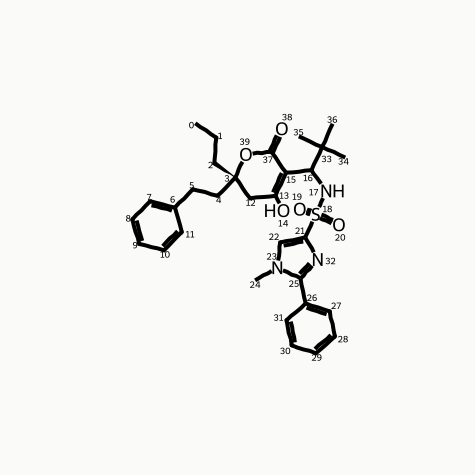 CCC[C@]1(CCc2ccccc2)CC(O)=C(C(NS(=O)(=O)c2cn(C)c(-c3ccccc3)n2)C(C)(C)C)C(=O)O1